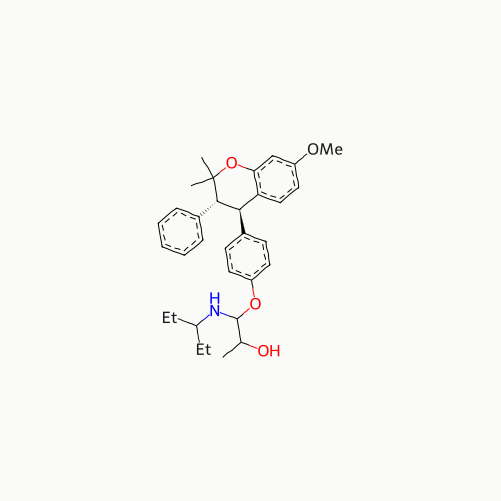 CCC(CC)NC(Oc1ccc([C@@H]2c3ccc(OC)cc3OC(C)(C)[C@H]2c2ccccc2)cc1)C(C)O